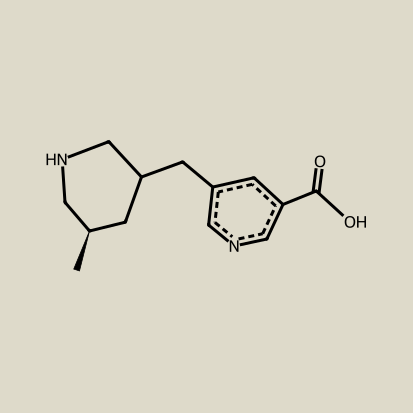 C[C@H]1CNCC(Cc2cncc(C(=O)O)c2)C1